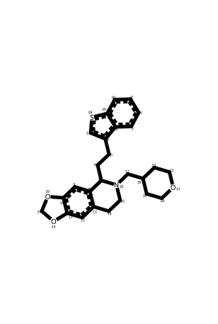 c1ccc2c(CCC3c4cc5c(cc4CCN3CC3CCOCC3)OCO5)csc2c1